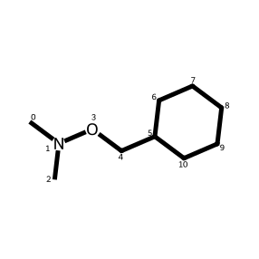 CN(C)OCC1CCCCC1